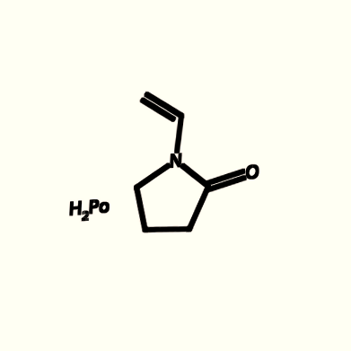 C=CN1CCCC1=O.[PoH2]